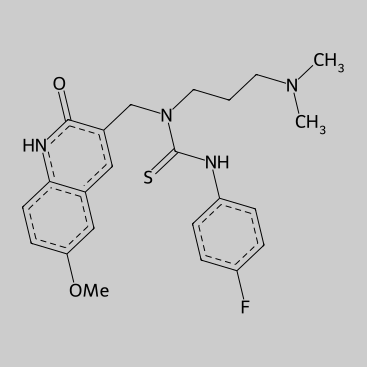 COc1ccc2[nH]c(=O)c(CN(CCCN(C)C)C(=S)Nc3ccc(F)cc3)cc2c1